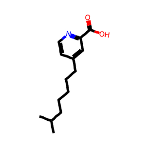 CC(C)CCCCCc1ccnc(C(=O)O)c1